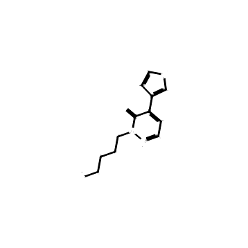 O=c1c(-c2ccsc2)ccnn1CCCCCl